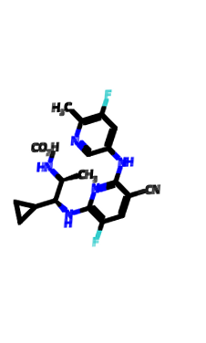 Cc1ncc(Nc2nc(N[C@@H](C3CC3)[C@H](C)NC(=O)O)c(F)cc2C#N)cc1F